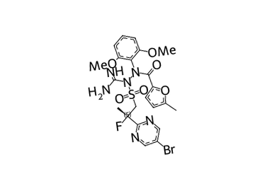 COc1cccc(OC)c1N(C(=O)c1ccc(C)o1)N(C(=N)N)S(=O)(=O)C[C@@](C)(F)c1ncc(Br)cn1